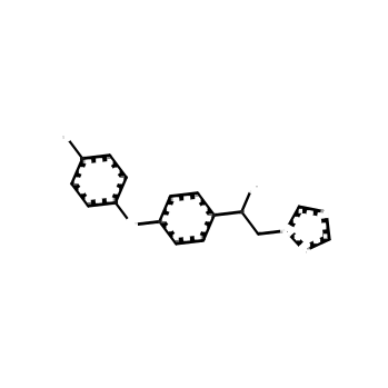 OC(Cn1cncn1)c1ccc(Oc2ccc(Br)cc2)cc1